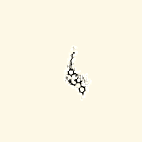 Nc1c(C(=O)c2ccc(F)cc2F)ccc(=O)n1-c1c(F)cc(OCCCCCI)cc1F